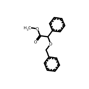 COC(=O)C(OCc1ccccc1)c1ccccc1